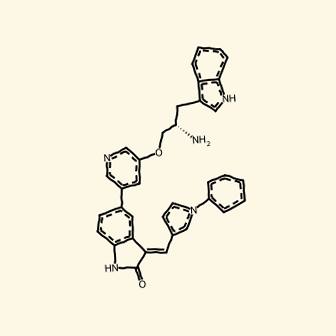 N[C@H](COc1cncc(-c2ccc3c(c2)/C(=C\c2ccn(-c4ccccc4)c2)C(=O)N3)c1)Cc1c[nH]c2ccccc12